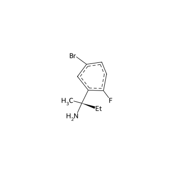 CC[C@](C)(N)c1cc(Br)ccc1F